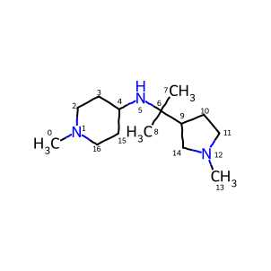 CN1CCC(NC(C)(C)C2CCN(C)C2)CC1